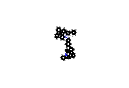 c1ccc(-c2cccc(N(c3ccc4cc(-c5ccc6c(c5)C5(c7ccccc7-6)c6ccccc6-n6c7ccccc7c7cccc5c76)ccc4c3)c3cccc4c3-c3ccccc3C43c4ccccc4-c4ccccc43)c2)cc1